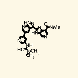 CNC(=O)c1cncc2[nH]c(-c3n[nH]c4ncc(-c5cncc(NC(O)N(C)C)c5)cc34)nc12